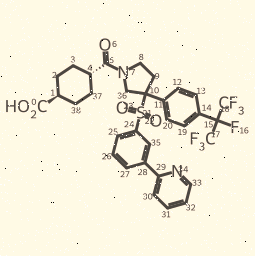 O=C(O)[C@H]1CC[C@H](C(=O)N2CCC(c3ccc(C(F)(C(F)(F)F)C(F)(F)F)cc3)(S(=O)(=O)c3cccc(-c4ccccn4)c3)C2)CC1